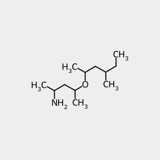 CCC(C)CC(C)OC(C)CC(C)N